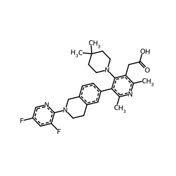 Cc1nc(C)c(-c2ccc3c(c2)CCN(c2ncc(F)cc2F)C3)c(N2CCC(C)(C)CC2)c1CC(=O)O